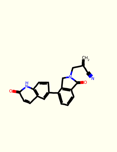 C=C(C#N)CN1Cc2c(cccc2-c2ccc3[nH]c(=O)ccc3c2)C1=O